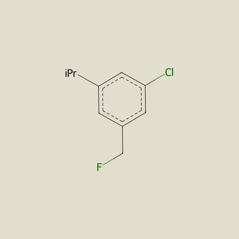 CC(C)c1cc(Cl)cc(CF)c1